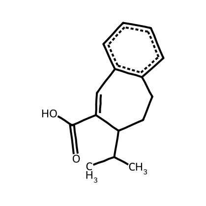 CC(C)C1CCc2ccccc2C=C1C(=O)O